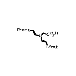 CCCCC/C=C/N(/C=C/CCCCC)CC(=O)O